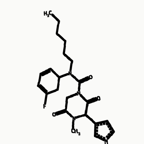 CCCCCCN(C(=O)N1CC(=O)N(C)C(c2cc[nH]c2)C1=O)C1C=CC=C(F)C1